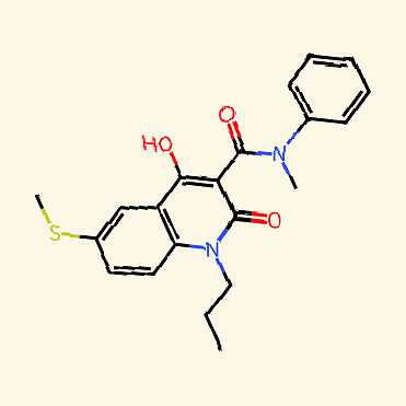 CCCn1c(=O)c(C(=O)N(C)c2ccccc2)c(O)c2cc(SC)ccc21